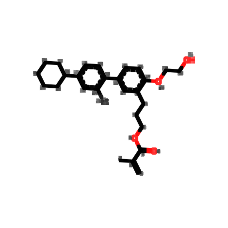 C=C(C)C(=O)OCCCc1cc(-c2ccc(C3CCCCC3)cc2CC)ccc1OCCO